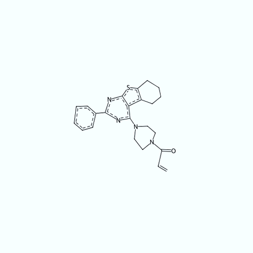 C=CC(=O)N1CCN(c2nc(-c3ccccc3)nc3sc4c(c23)CCCC4)CC1